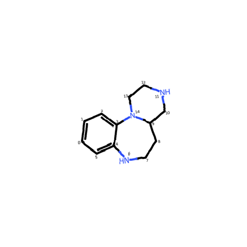 c1ccc2c(c1)NCCC1CNCCN21